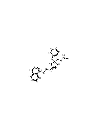 CNCCC1(CC2=CC=CCC2)CN=C(CCCc2nccc3ccccc23)C1